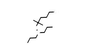 CCC[SiH](CCC)OC(C)(C)CCCN